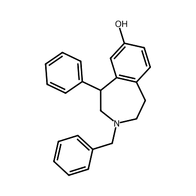 Oc1ccc2c(c1)C(c1ccccc1)CN(Cc1ccccc1)CC2